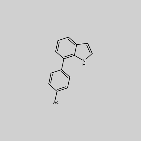 CC(=O)c1ccc(-c2cccc3cc[nH]c23)cc1